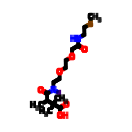 CSCCNC(=O)COCCOCCN(I)C(=O)C(C)C(C)(C)C(=O)O